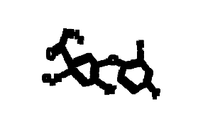 NC(=O)c1cc(Oc2ccc(F)cc2F)c(Br)cc1[N+](=O)[O-]